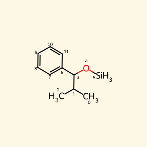 CC(C)C(O[SiH3])c1ccccc1